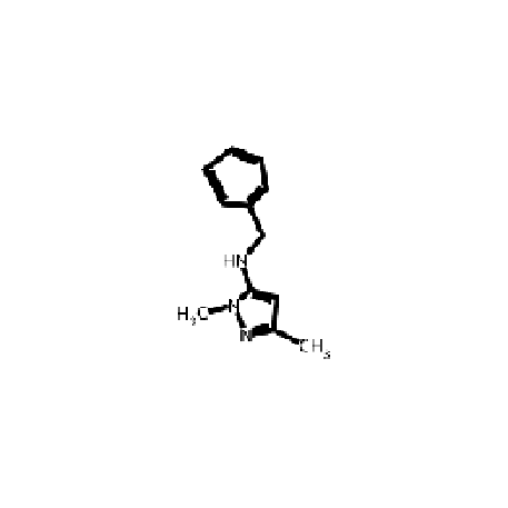 Cc1cc(NCc2ccccc2)n(C)n1